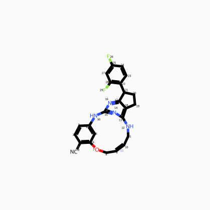 N#Cc1ccc2cc1OC/C=C\CNc1nc(nc3c1CCC3c1ccc(F)cc1F)N2